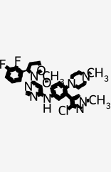 COc1cc(N2CCN(C)CC2)c(-c2cn(C)nc2Cl)cc1Nc1cc(N2OCC[C@@H]2c2cccc(F)c2F)ncn1